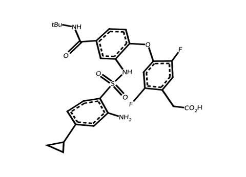 CC(C)(C)NC(=O)c1ccc(Oc2cc(F)c(CC(=O)O)cc2F)c(NS(=O)(=O)c2ccc(C3CC3)cc2N)c1